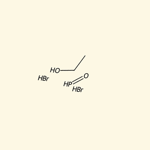 Br.Br.CCO.O=P